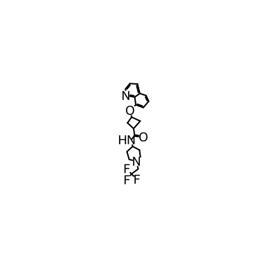 O=C(NC1CCN(CC(F)(F)F)CC1)C1CC(Oc2cccc3cccnc23)C1